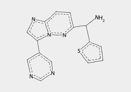 NC(c1ccc2ncc(-c3cncnc3)n2n1)c1cccs1